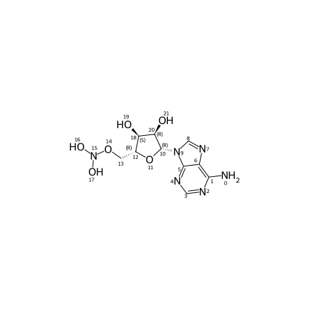 Nc1ncnc2c1ncn2[C@@H]1O[C@H](CON(O)O)[C@@H](O)[C@H]1O